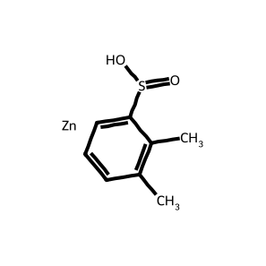 Cc1cccc(S(=O)O)c1C.[Zn]